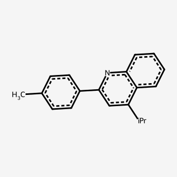 Cc1ccc(-c2cc(C(C)C)c3ccccc3n2)cc1